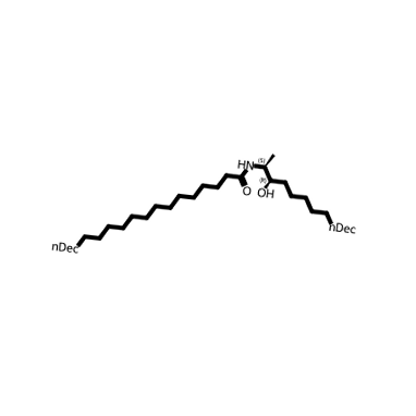 CCCCCCCCCCCCCCCCCCCCCCCC(=O)N[C@@H](C)[C@H](O)CCCCCCCCCCCCCCC